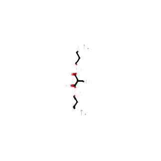 CCC(C)C(C(=O)OCCCC#N)C(=O)OCCCC#N